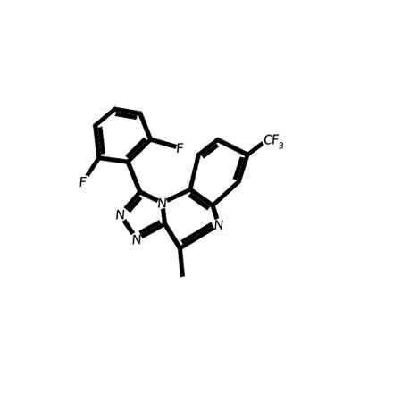 Cc1nc2cc(C(F)(F)F)ccc2n2c(-c3c(F)cccc3F)nnc12